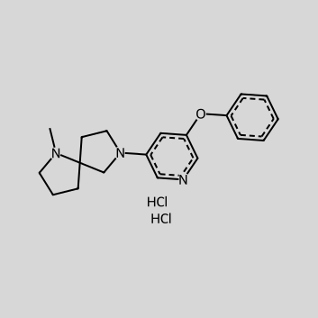 CN1CCCC12CCN(c1cncc(Oc3ccccc3)c1)C2.Cl.Cl